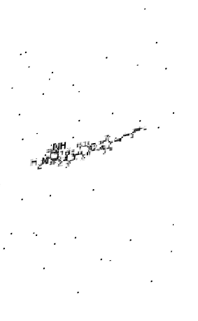 CC#CC#CC#CC1CCC(COC2CCC(c3ccc(Cc4cc(N)cc(N)c4)cc3)CC2)CC1